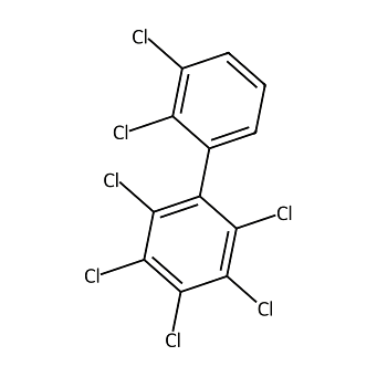 Clc1cccc(-c2c(Cl)c(Cl)c(Cl)c(Cl)c2Cl)c1Cl